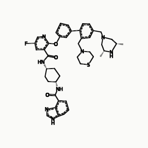 C[C@@H]1CN(Cc2ccc(-c3cccc(Oc4ncc(F)cc4C(=O)N[C@H]4CC[C@@H](NC(=O)c5cccc6[nH]cnc56)CC4)c3)c(CN3CCSCC3)c2)C[C@H](C)N1